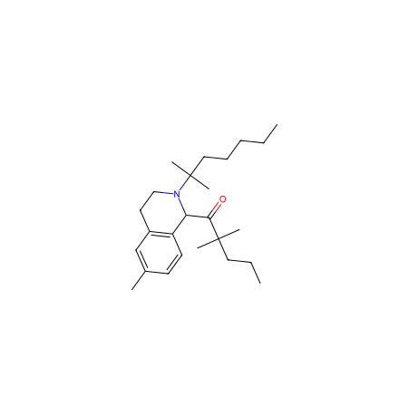 CCCCCC(C)(C)N1CCc2cc(C)ccc2C1C(=O)C(C)(C)CCC